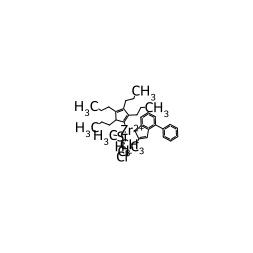 CCCC1=C(CCC)C(CCC)[C]([Zr+2]([CH]2C(C)=Cc3c(-c4ccccc4)cccc32)=[Si](C)C)=C1CCC.[Cl-].[Cl-]